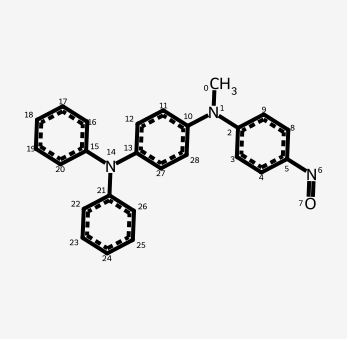 CN(c1ccc(N=O)cc1)c1ccc(N(c2ccccc2)c2ccccc2)cc1